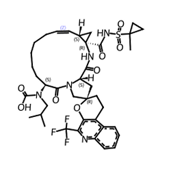 CC(C)CN(C(=O)O)[C@H]1CCCCC/C=C\[C@@H]2C[C@@]2(C(=O)NS(=O)(=O)C2(C)CC2)NC(=O)[C@@H]2C[C@]3(CCc4c(c(C(F)(F)F)nc5ccccc45)O3)CN2C1=O